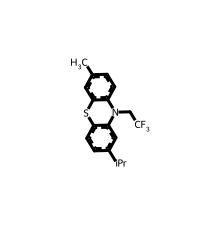 Cc1ccc2c(c1)Sc1ccc(C(C)C)cc1N2CC(F)(F)F